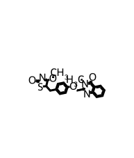 COC1=NC(=O)SC1Cc1ccc(OCc2nc3ccccc3c(=O)n2C)cc1